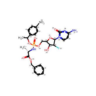 CC(OP(=O)(N[C@@H](C)C(=O)OCc1ccccc1)OCC1OC(n2ccc(N)nc2=O)C(F)C1O)c1ccc([N+](=O)[O-])cc1